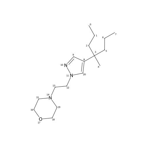 CCCC(C)(CCC)c1cnn(CCN2CCOCC2)c1